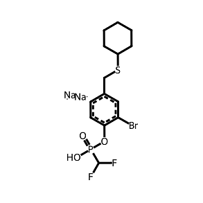 O=P(O)(Oc1ccc(CSC2CCCCC2)cc1Br)C(F)F.[Na].[Na]